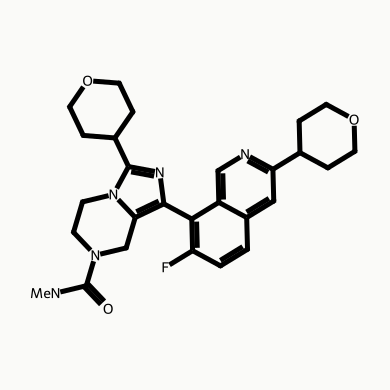 CNC(=O)N1CCn2c(C3CCOCC3)nc(-c3c(F)ccc4cc(C5CCOCC5)ncc34)c2C1